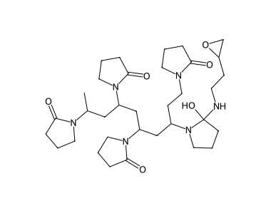 CC(CC(CC(CC(CCN1CCCC1=O)N1CCCC1(O)NCCC1CO1)N1CCCC1=O)N1CCCC1=O)N1CCCC1=O